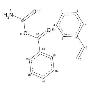 C=Cc1ccccc1.NC(=O)OC(=O)c1ccccc1